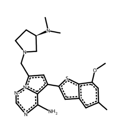 COc1cc(C)cc2cc(-c3cc(CN4CC[C@@H](N(C)C)C4)n4ncnc(N)c34)sc12